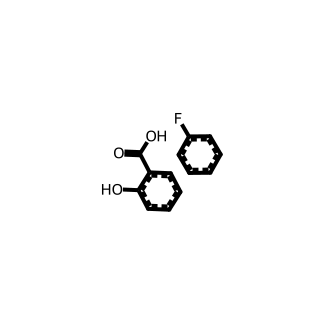 Fc1ccccc1.O=C(O)c1ccccc1O